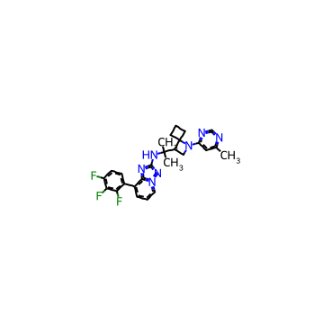 Cc1cc(N2CC(C(C)(C)Nc3nc4c(-c5ccc(F)c(F)c5F)cccn4n3)C23CCC3)ncn1